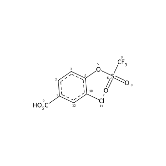 O=C(O)c1ccc(OS(=O)(=O)C(F)(F)F)c(Cl)c1